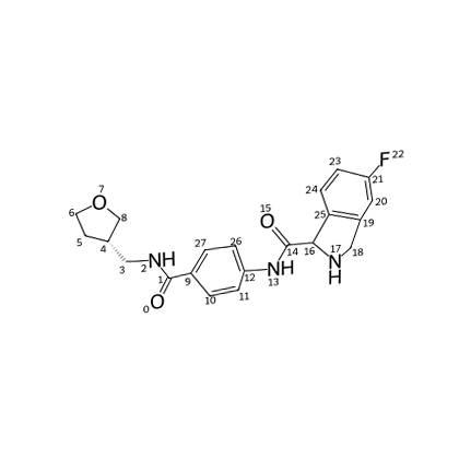 O=C(NC[C@@H]1CCOC1)c1ccc(NC(=O)C2NCc3cc(F)ccc32)cc1